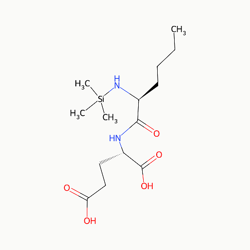 CCCC[C@H](N[Si](C)(C)C)C(=O)N[C@@H](CCC(=O)O)C(=O)O